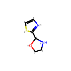 c1csc(C2NCCO2)n1